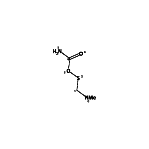 CNCSOC(N)=O